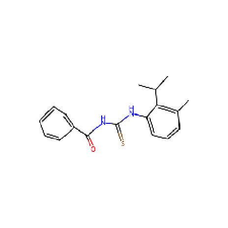 Cc1cccc(NC(=S)NC(=O)c2ccccc2)c1C(C)C